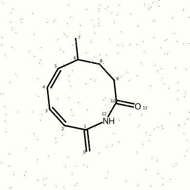 C=C1/C=C\C=C/C(C)CCC(=O)N1